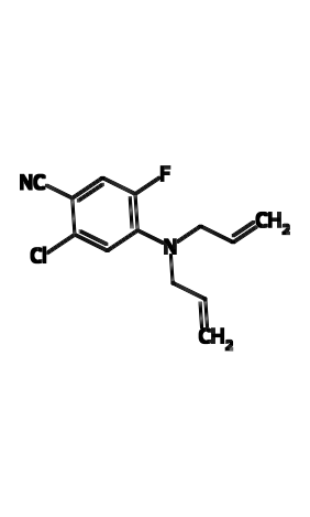 C=CCN(CC=C)c1cc(Cl)c(C#N)cc1F